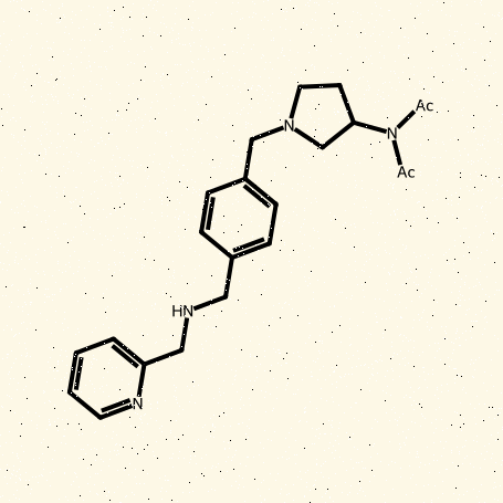 CC(=O)N(C(C)=O)C1CCN(Cc2ccc(CNCc3ccccn3)cc2)C1